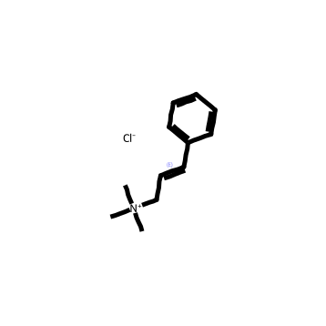 C[N+](C)(C)C/C=C/c1ccccc1.[Cl-]